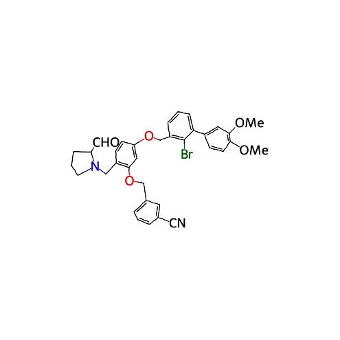 COc1ccc(-c2cccc(COc3ccc(CN4CCCC4C=O)c(OCc4cccc(C#N)c4)c3)c2Br)cc1OC